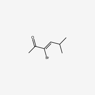 CC(=O)/C(Br)=C/C(C)C